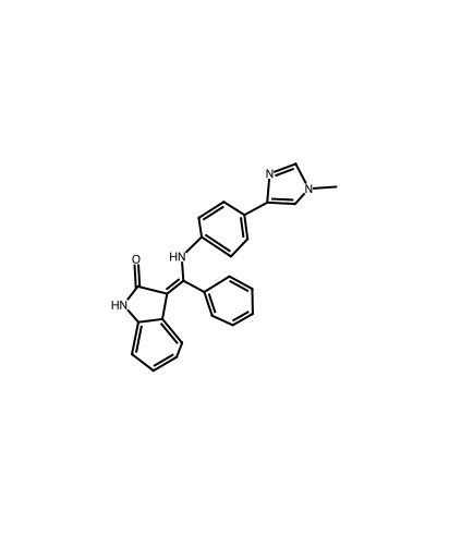 Cn1cnc(-c2ccc(N/C(=C3\C(=O)Nc4ccccc43)c3ccccc3)cc2)c1